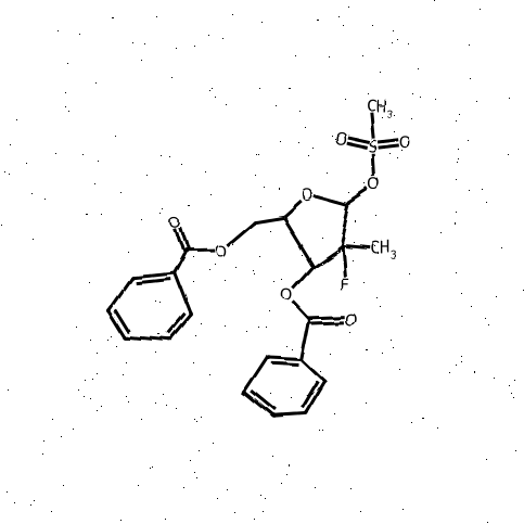 CC1(F)C(OS(C)(=O)=O)OC(COC(=O)c2ccccc2)C1OC(=O)c1ccccc1